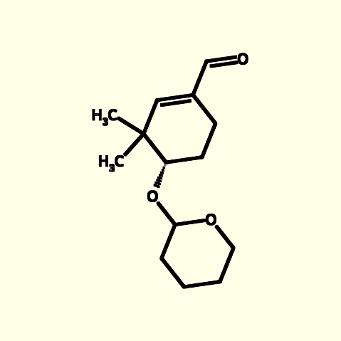 CC1(C)C=C(C=O)CC[C@@H]1OC1CCCCO1